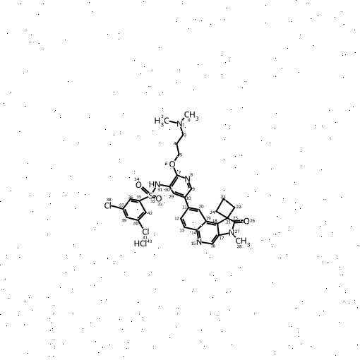 CN(C)CCCOc1ncc(-c2ccc3ncc4c(c3c2)C2(CCC2)C(=O)N4C)cc1NS(=O)(=O)c1cc(Cl)cc(Cl)c1.Cl